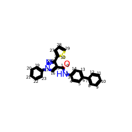 O=C(Nc1ccc(-c2ccccc2)cc1)c1cn(-c2ccccc2)nc1-c1cccs1